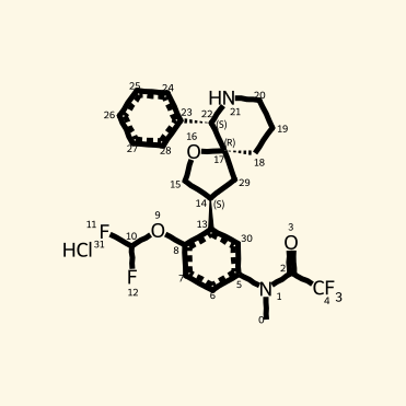 CN(C(=O)C(F)(F)F)c1ccc(OC(F)F)c([C@H]2CO[C@]3(CCCN[C@H]3c3ccccc3)C2)c1.Cl